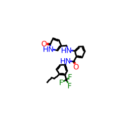 CCCc1ccc(NC(=O)c2ccccc2NCc2ccc(=O)[nH]c2)cc1C(F)(F)F